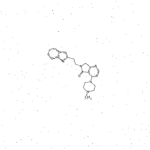 CN1CCN(c2ccnc3c2C(=O)N(CCc2cn4ccccc4n2)C3)CC1